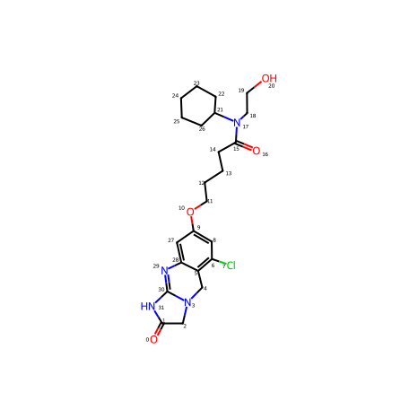 O=C1CN2Cc3c(Cl)cc(OCCCCC(=O)N(CCO)C4CCCCC4)cc3N=C2N1